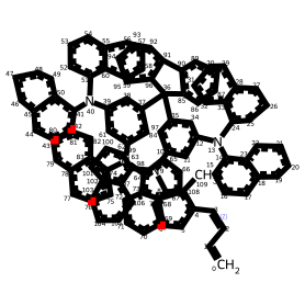 C=C/C=C\c1cccc(N(c2cc(N(c3cccc4ccccc34)c3cccc4ccccc34)cc(C3(c4cc(N(c5cccc6ccccc56)c5cccc6ccccc56)cc(N(c5cccc6ccccc56)c5cccc6ccccc56)c4)c4ccccc4-c4ccccc43)c2)c2cccc3ccccc23)c1C